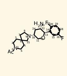 CC(=O)N1CCC2(CC1)CCN([C@H]1CO[C@H](c3cc(F)ccc3F)[C@@H](N)C1)C2